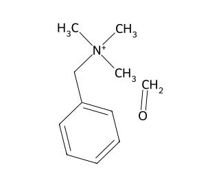 C=O.C[N+](C)(C)Cc1ccccc1